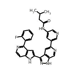 CC(C)CC(=O)Nc1cncc(-c2cc3c(-c4cc5c(-c6ccccc6F)nccc5[nH]4)n[nH]c3cn2)c1